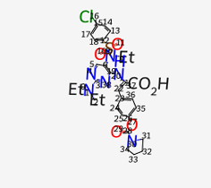 CCN(CC)c1ncc(N(CC)S(=O)(=O)c2ccc(Cl)cc2)c(NC(Cc2ccc(OC(=O)N3CCCC3)cc2)C(=O)O)n1